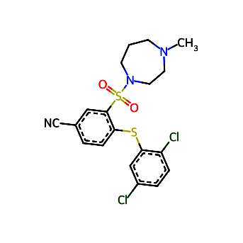 CN1CCCN(S(=O)(=O)c2cc(C#N)ccc2Sc2cc(Cl)ccc2Cl)CC1